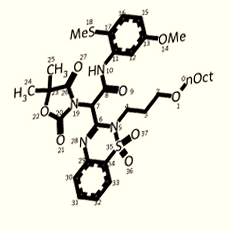 CCCCCCCCOCCCN1C(C(C(=O)Nc2cc(OC)ccc2SC)N2C(=O)OC(C)(C)C2=O)=Nc2ccccc2S1(=O)=O